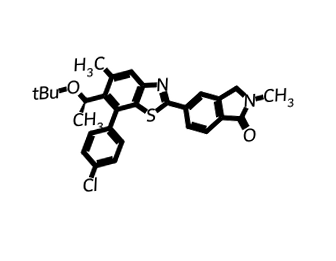 Cc1cc2nc(-c3ccc4c(c3)CN(C)C4=O)sc2c(-c2ccc(Cl)cc2)c1[C@@H](C)OC(C)(C)C